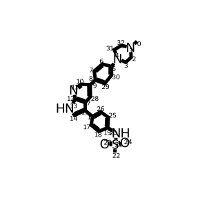 CN1CCN(c2ccc(-c3cnc4[nH]cc(-c5ccc(NS(C)(=O)=O)cc5)c4c3)cc2)CC1